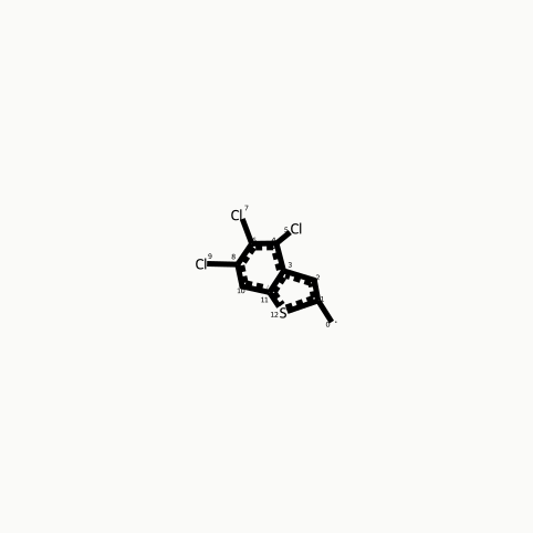 [CH2]c1cc2c(Cl)c(Cl)c(Cl)cc2s1